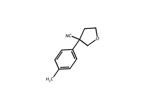 Cc1ccc(C2(C#N)CCOC2)cc1